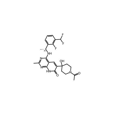 CC(=O)N1CCC(O)(c2cc3c(N[C@H](C)c4cccc(C(F)F)c4F)nc(C)nc3[nH]c2=O)CC1